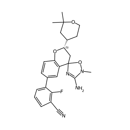 CN1OC2(C[C@@H](C3CCOC(C)(C)C3)Oc3ccc(-c4cccc(C#N)c4F)cc32)N=C1N